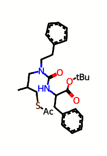 CC(=O)SCC(C)CN(CCc1ccccc1)C(=O)NC(Cc1ccccc1)C(=O)OC(C)(C)C